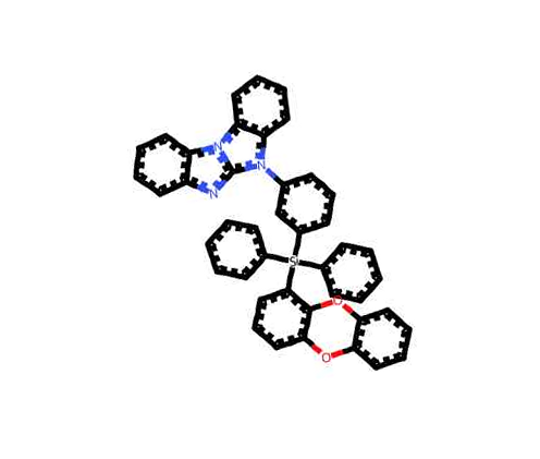 c1ccc([Si](c2ccccc2)(c2cccc(-n3c4ccccc4n4c5ccccc5nc34)c2)c2cccc3c2Oc2ccccc2O3)cc1